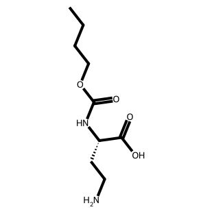 CCCCOC(=O)N[C@@H](CCN)C(=O)O